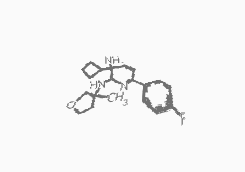 CC1(NC2N=C(c3ccc(F)cc3)C=CC2(N)C2CCC2)CCOC1